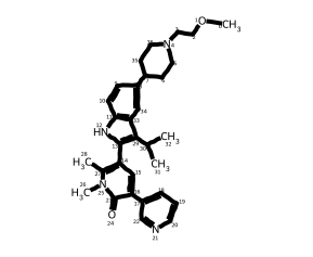 COCCN1CCC(c2ccc3[nH]c(-c4cc(-c5cccnc5)c(=O)n(C)c4C)c(C(C)C)c3c2)CC1